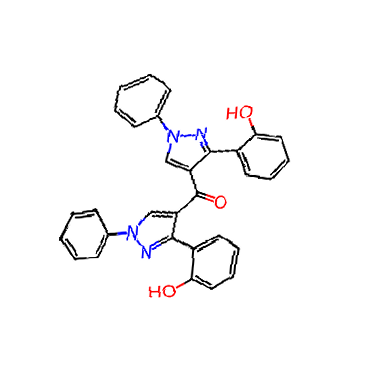 O=C(c1cn(-c2ccccc2)nc1-c1ccccc1O)c1cn(-c2ccccc2)nc1-c1ccccc1O